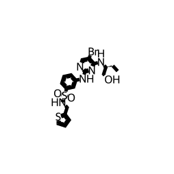 CC[C@H](CO)Nc1nc(Nc2cccc(S(=O)(=O)NCc3cccs3)c2)ncc1Br